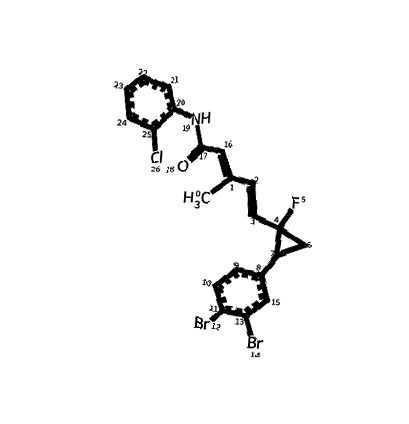 CC(/C=C/C1(F)CC1c1ccc(Br)c(Br)c1)=C\C(=O)Nc1ccccc1Cl